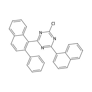 Clc1nc(-c2cccc3ccccc23)nc(-c2c(-c3ccccc3)ccc3ccccc23)n1